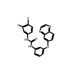 O=C(Nc1cccc(Oc2ccc3nccnc3c2)c1)Nc1ccc(F)c(F)c1